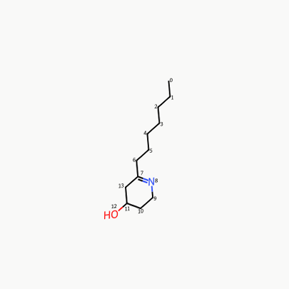 CCCCCCCC1=NCCC(O)C1